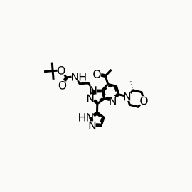 CC(=O)c1cc(N2CCOC[C@H]2C)nc2c(-c3ccn[nH]3)nn(CCNC(=O)OC(C)(C)C)c12